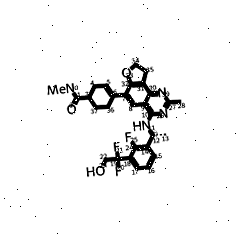 CNC(=O)C1CC=C(c2cc3c(N[C@H](C)c4cccc(C(F)(F)CO)c4F)nc(C)nc3c3c2OCC3)CC1